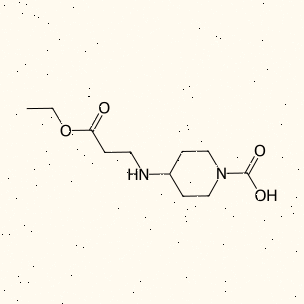 CCOC(=O)CCNC1CCN(C(=O)O)CC1